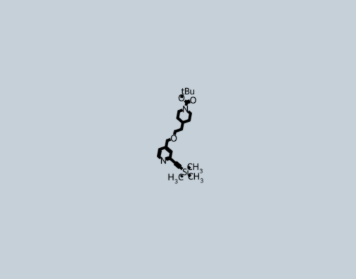 CC(C)(C)OC(=O)N1CCC(CCOCc2ccnc(C#C[Si](C)(C)C)c2)CC1